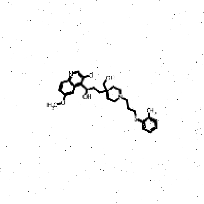 COc1ccc2ncc(Cl)c(C(O)CCC3(CO)CCN(CCCSc4ccccc4C)CC3)c2c1